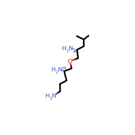 CC(C)C[C@@H](N)COC[C@@H](N)CCCN